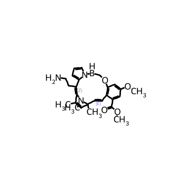 COC(=O)c1cc(OC)cc2c1/C=C/C1(C)C=C(C)/C(=C(\CCN)c3cccn3BCO2)N1C